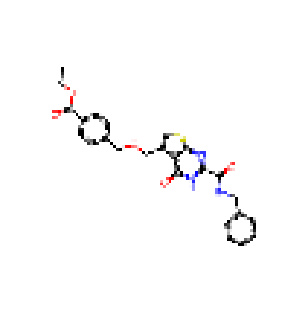 CCOC(=O)c1ccc(COCc2csc3nc(C(=O)NCc4ccccc4)[nH]c(=O)c23)cc1